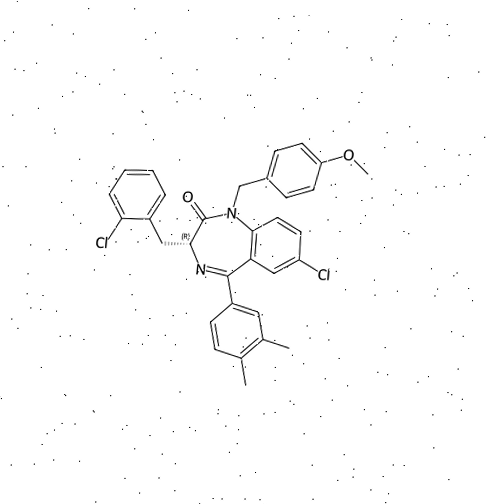 COc1ccc(CN2C(=O)[C@@H](Cc3ccccc3Cl)N=C(c3ccc(C)c(C)c3)c3cc(Cl)ccc32)cc1